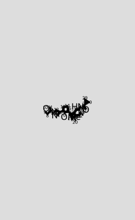 COc1c(-c2cnn([C@H]3CCOC3)c2)cccc1-c1nn(C)c2cnc(NC(=O)C3CC3)cc12